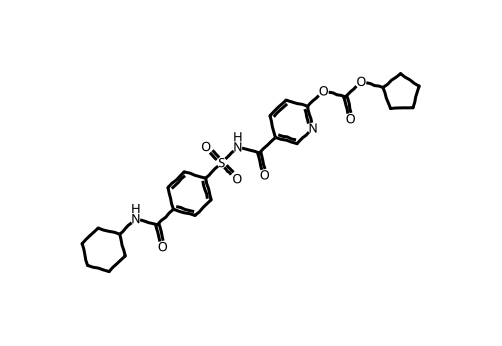 O=C(Oc1ccc(C(=O)NS(=O)(=O)c2ccc(C(=O)NC3CCCCC3)cc2)cn1)OC1CCCC1